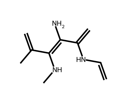 C=CNC(=C)/C(N)=C(\NC)C(=C)C